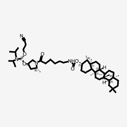 CC(C)N(C(C)C)P(OCCC#N)O[C@@H]1C[C@@H](C)N(C(=O)CCCCCNC(=O)O[C@H]2CCC3[C@](C)(CC[C@H]4[C@@]3(C)CC[C@@]3(C)[C@@H]5CC(C)(C)CC[C@]5(C)CC[C@]43C)[C@H]2C)C1